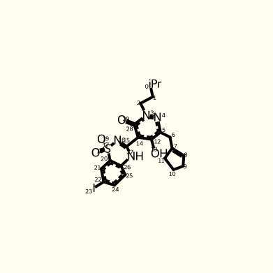 CC(C)CCn1nc(CC2=CCCC2)c(O)c(C2=NS(=O)(=O)c3cc(I)ccc3N2)c1=O